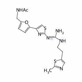 CC(=O)NCc1ccc(-c2csc(/N=C(\N)NCCc3cnc(C)s3)n2)o1